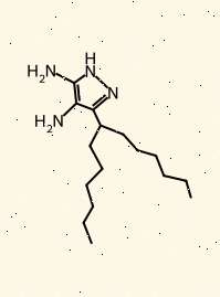 CCCCCCC(CCCCCC)c1n[nH]c(N)c1N